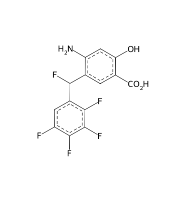 Nc1cc(O)c(C(=O)O)cc1C(F)c1cc(F)c(F)c(F)c1F